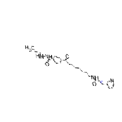 CCCNNC(=O)c1ccc(C(=O)CCCCCCCNC(=O)/C=C/c2cccnc2)cc1